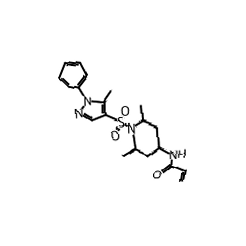 C=CC(=O)NC1CC(C)N(S(=O)(=O)c2cnn(-c3ccccc3)c2C)C(C)C1